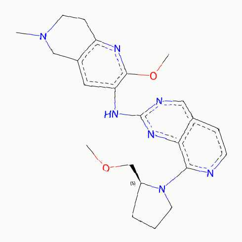 COC[C@@H]1CCCN1c1nccc2cnc(Nc3cc4c(nc3OC)CCN(C)C4)nc12